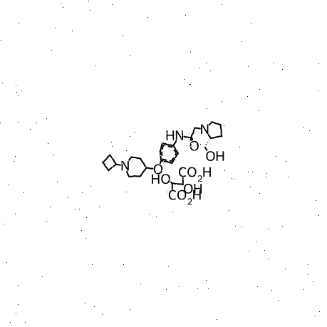 O=C(CN1CCC[C@@H]1CO)Nc1ccc(OC2CCN(C3CCC3)CC2)cc1.O=C(O)C(O)C(O)C(=O)O